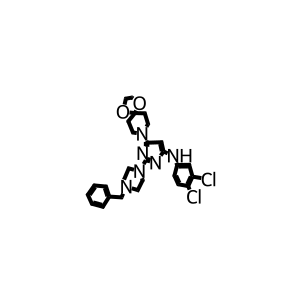 Clc1ccc(Nc2cc(N3CCC4(CC3)OCCO4)nc(N3CCN(Cc4ccccc4)CC3)n2)cc1Cl